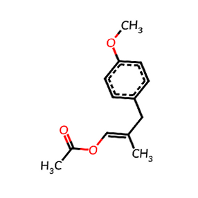 COc1ccc(CC(C)=COC(C)=O)cc1